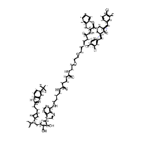 CC(C)N(C[C@H]1O[C@@H](n2cnc3c(NCCCCNC(=O)CCCC(=O)NCCOCCOCCOCCC(=O)N[C@@H](Cc4ccccc4)C(=O)N4C/C(=C\c5ccc(Cl)c(Cl)c5)C(=O)/C(=C/c5ccc(Cl)c(Cl)c5)C4)ncnc32)C(O)C1O)C1CC(CCc2nc3cc(C(C)(C)C)ccc3[nH]2)C1